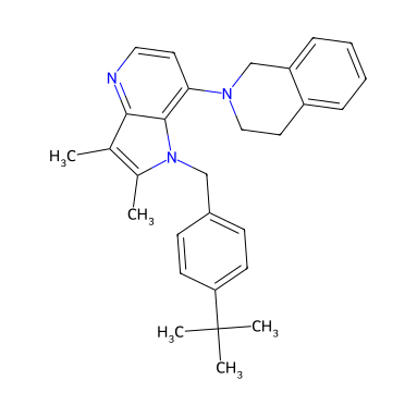 Cc1c(C)n(Cc2ccc(C(C)(C)C)cc2)c2c(N3CCc4ccccc4C3)ccnc12